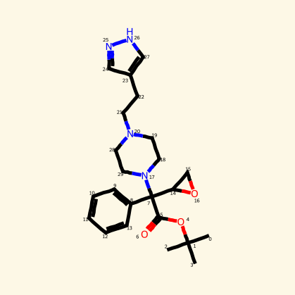 CC(C)(C)OC(=O)C(c1ccccc1)(C1CO1)N1CCN(CCc2cn[nH]c2)CC1